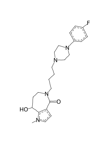 Cn1ccc2c1C(O)CCN(CCCCN1CCN(c3ccc(F)cc3)CC1)C2=O